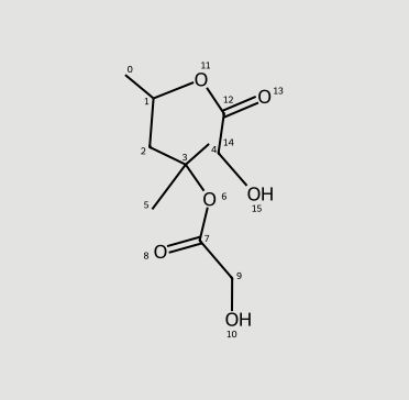 CC(CC(C)(C)OC(=O)CO)OC(=O)CO